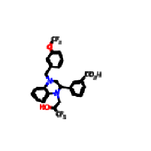 O=C(O)c1cccc(C2CN(Cc3cccc(OC(F)(F)F)c3)c3ccccc3N2CC(O)C(F)(F)F)c1